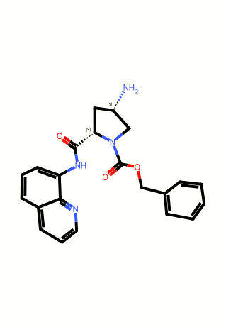 N[C@H]1C[C@@H](C(=O)Nc2cccc3cccnc23)N(C(=O)OCc2ccccc2)C1